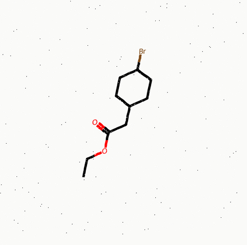 CCOC(=O)CC1CCC(Br)CC1